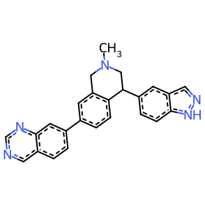 CN1Cc2cc(-c3ccc4cncnc4c3)ccc2C(c2ccc3[nH]ncc3c2)C1